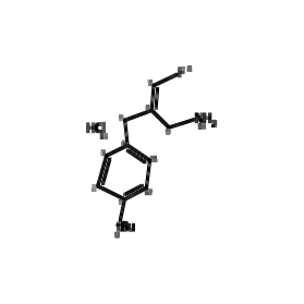 CC(C)(C)c1ccc(CC(=CF)CN)cc1.Cl